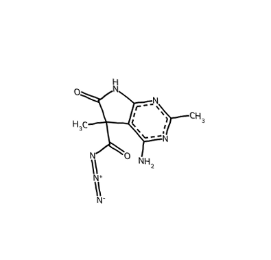 Cc1nc(N)c2c(n1)NC(=O)C2(C)C(=O)N=[N+]=[N-]